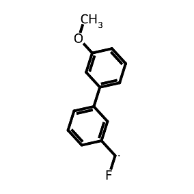 COc1cccc(-c2cccc([CH]F)c2)c1